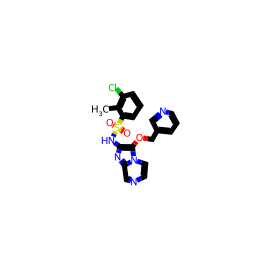 Cc1c(Cl)cccc1S(=O)(=O)Nc1nc2cnccn2c1OCc1cccnc1